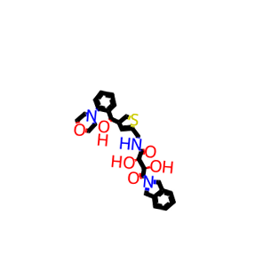 O=C(NCC1=CC(C(O)c2ccccc2N2CCOCC2)CS1)[C@H](O)[C@@H](O)C(=O)N1Cc2ccccc2C1